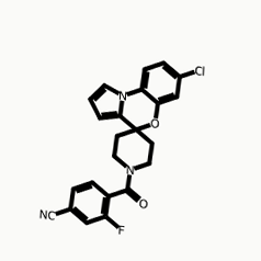 N#Cc1ccc(C(=O)N2CCC3(CC2)Oc2cc(Cl)ccc2-n2cccc23)c(F)c1